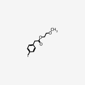 COCCOC(=O)Cc1ccc(I)cc1